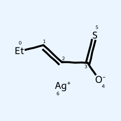 CCC=CC([O-])=S.[Ag+]